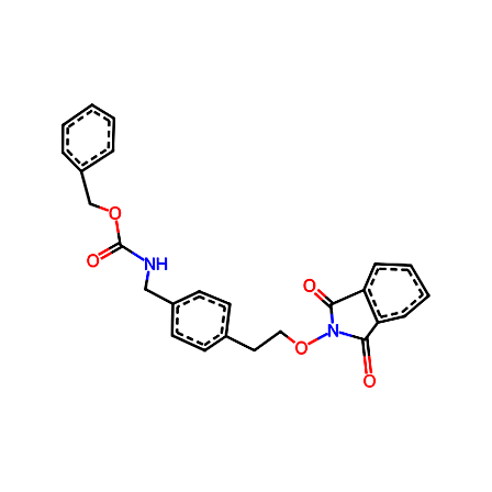 O=C(NCc1ccc(CCON2C(=O)c3ccccc3C2=O)cc1)OCc1ccccc1